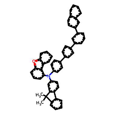 CC1(C)c2ccccc2-c2ccc(N(c3ccc(-c4ccc(-c5cccc(-c6ccc7ccccc7c6)c5)cc4)cc3)c3cccc4oc5ccccc5c34)cc21